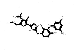 COCc1[nH]c(-c2nnc(Cc3ccc(Cl)c(Oc4cc(N)cc(Cl)c4)c3F)o2)c(C)c1C(C)=O